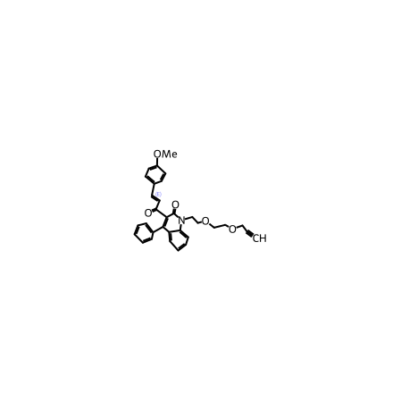 C#CCOCCOCCn1c(=O)c(C(=O)/C=C/c2ccc(OC)cc2)c(-c2ccccc2)c2ccccc21